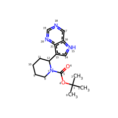 CC(C)(C)OC(=O)N1CCCCC1c1c[nH]c2cncnc12